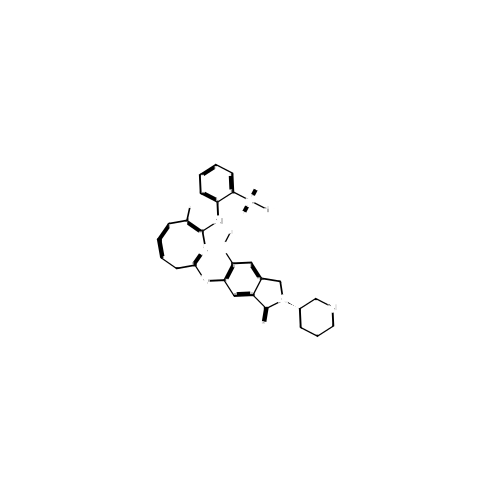 CC(C)Oc1cc2c(cc1N/C1=N/C(Nc3ccccc3S(=O)(=O)C(C)C)=C(/Cl)C=C=CC1)C(=O)N([C@@H]1CCCNC1)C2